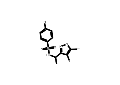 CCc1onc(C(C)NS(=O)(=O)c2ccc(Cl)cc2)c1I